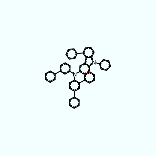 c1ccc(-c2cccc(N(c3ccc4c(c3)c3c(-c5ccccc5)cccc3n4-c3ccccc3)c3ccc(-c4ccccc4)cc3-c3ccccc3)c2)cc1